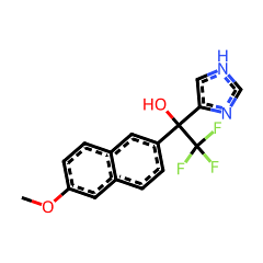 COc1ccc2cc(C(O)(c3c[nH]cn3)C(F)(F)F)ccc2c1